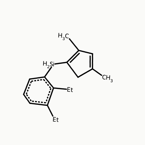 CCc1cccc([SiH2]C2=C(C)C=C(C)C2)c1CC